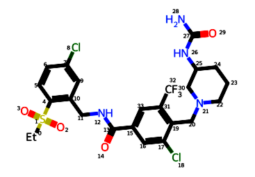 CCS(=O)(=O)c1ccc(Cl)cc1CNC(=O)c1cc(Cl)c(CN2CCCC(NC(N)=O)C2)c(C(F)(F)F)c1